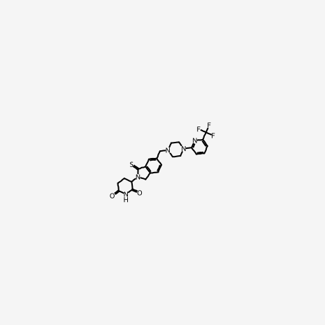 O=C1CCC(N2Cc3ccc(CN4CCN(c5cccc(C(F)(F)F)n5)CC4)cc3C2=S)C(=O)N1